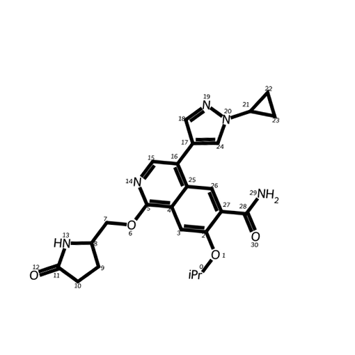 CC(C)Oc1cc2c(OCC3CCC(=O)N3)ncc(-c3cnn(C4CC4)c3)c2cc1C(N)=O